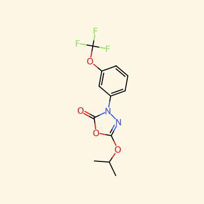 CC(C)Oc1nn(-c2cccc(OC(F)(F)F)c2)c(=O)o1